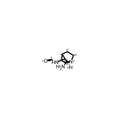 N[C@H]1C(NC=O)C2CCN1CC2